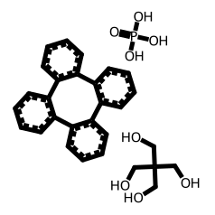 O=P(O)(O)O.OCC(CO)(CO)CO.c1ccc2c(c1)-c1ccccc1-c1ccccc1-c1ccccc1-2